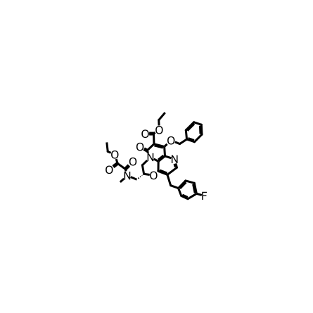 CCOC(=O)C(=O)N(C)C[C@@H]1Cn2c(=O)c(C(=O)OCC)c(OCc3ccccc3)c3ncc(Cc4ccc(F)cc4)c(c32)O1